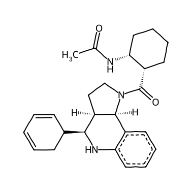 CC(=O)N[C@@H]1CCCC[C@@H]1C(=O)N1CC[C@@H]2[C@H](C3C=CC=CC3)Nc3ccccc3[C@@H]21